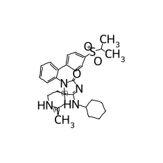 CC(C)S(=O)(=O)c1ccc(-c2ccccc2N2C(=O)N=C(NC3CCCCC3)[C@@]23CCN[C@H](C)C3)cc1